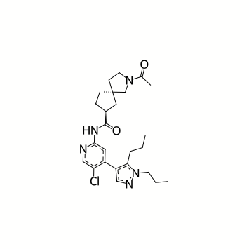 CCCc1c(-c2cc(NC(=O)[C@H]3CC[C@@]4(CCN(C(C)=O)C4)C3)ncc2Cl)cnn1CCC